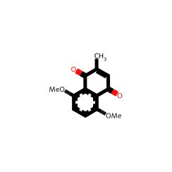 COc1ccc(OC)c2c1C(=O)C=C(C)C2=O